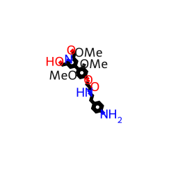 COC(=O)c1cc(-c2c(OC)cc(OCC(=O)NCCc3ccc(N)cc3)cc2OC)cc(CO)n1